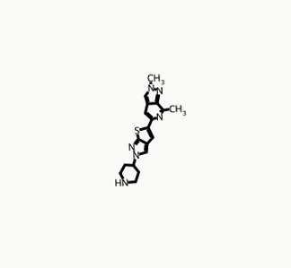 Cc1nc(-c2cc3cn(C4CCNCC4)nc3s2)cc2cn(C)nc12